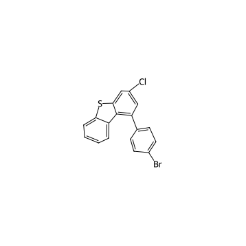 Clc1cc(-c2ccc(Br)cc2)c2c(c1)sc1ccccc12